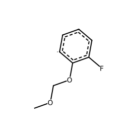 COCOc1[c]cccc1F